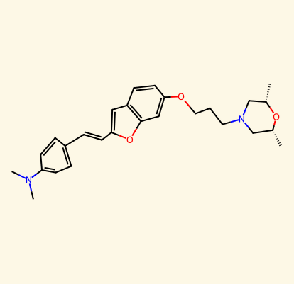 C[C@@H]1CN(CCCOc2ccc3cc(/C=C/c4ccc(N(C)C)cc4)oc3c2)C[C@H](C)O1